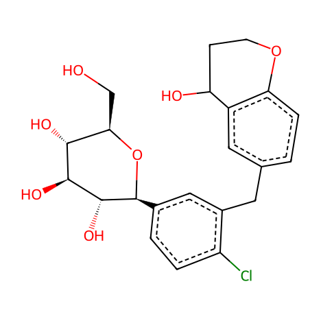 OC[C@H]1O[C@@H](c2ccc(Cl)c(Cc3ccc4c(c3)C(O)CCO4)c2)[C@H](O)[C@@H](O)[C@@H]1O